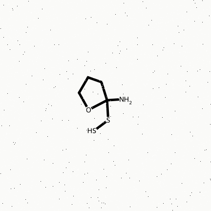 NC1(SS)CCCO1